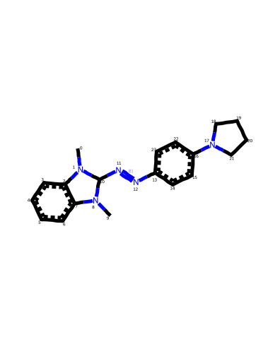 CN1c2ccccc2N(C)C1/N=N/c1ccc(N2CCCC2)cc1